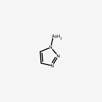 [AsH2]n1ccnn1